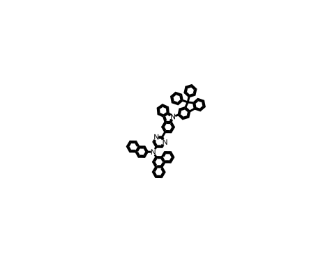 c1ccc(C2(c3ccccc3)c3ccccc3-c3ccc(-n4c5ccccc5c5cc(-c6ncc(N(c7ccc8ccccc8c7)c7cc8ccccc8c8ccccc78)cn6)ccc54)cc32)cc1